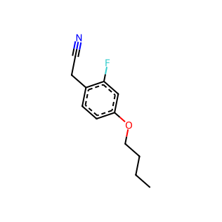 CCCCOc1ccc(CC#N)c(F)c1